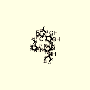 CCCN(C(=O)C(F)(F)F)[C@H]1C[C@@H](n2cnc3c(NC(CC)CC)nc(NC[C@H]4CCCN4CC)nc32)[C@H](O)[C@@H]1O